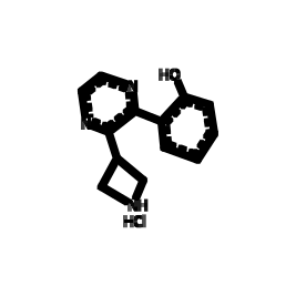 Cl.Oc1ccccc1-c1nccnc1C1CNC1